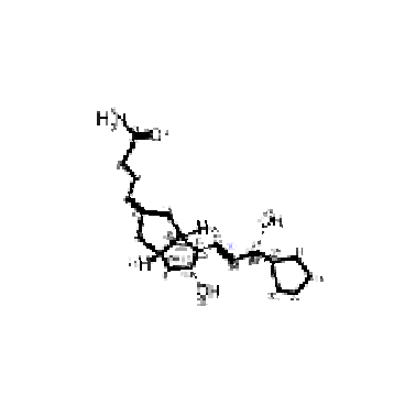 NC(=O)CCC=C1C[C@H]2C[C@@H](O)[C@H](/C=C/[C@H](O)C3CCCC3)[C@H]2C1